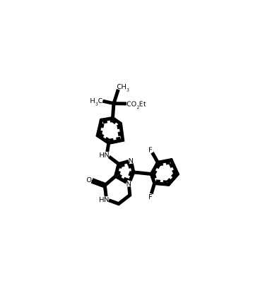 CCOC(=O)C(C)(C)c1ccc(Nc2nc(-c3c(F)cccc3F)n3c2C(=O)NCC3)cc1